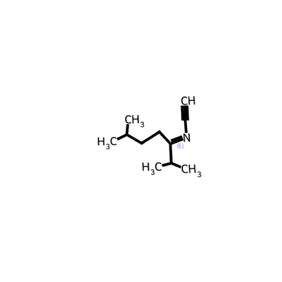 C#C/N=C(\CCC(C)C)C(C)C